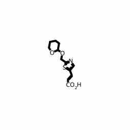 O=C(O)C=Cc1cnc(COC2CCCCO2)s1